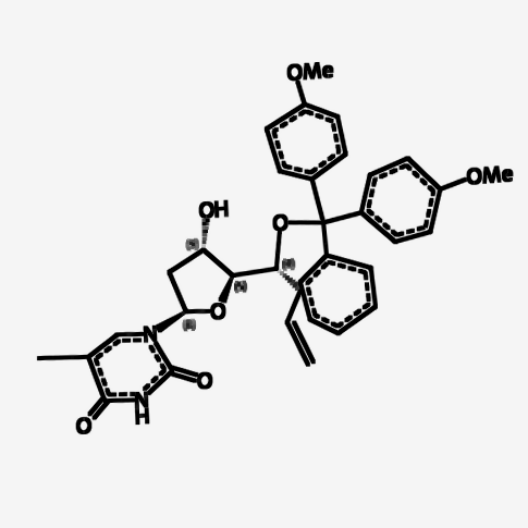 C=CC[C@@H](OC(c1ccccc1)(c1ccc(OC)cc1)c1ccc(OC)cc1)[C@H]1O[C@@H](n2cc(C)c(=O)[nH]c2=O)C[C@@H]1O